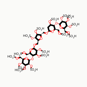 O=S(=O)(O)OC[C@H]1O[C@@H](OC[C@@H]2O[C@@H](CO[C@@H]3O[C@H](COS(=O)(=O)O)[C@@H](O[C@H]4O[C@H](COS(=O)(=O)O)[C@@H](OS(=O)(=O)O)[C@H](OS(=O)(=O)O)[C@H]4OS(=O)(=O)O)[C@H](OS(=O)(=O)O)[C@H]3OS(=O)(=O)O)[C@H](OS(=O)(=O)O)[C@H]2OS(=O)(=O)O)C[C@@H](OS(=O)(=O)O)[C@@H]1O[C@H]1O[C@H](COS(=O)(=O)O)[C@@H](OS(=O)(=O)O)[C@H](OS(=O)(=O)O)[C@H]1OS(=O)(=O)O